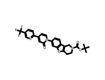 CC(C)(C)OC(=O)N1CCc2oc3cc(-n4ccc(-c5ccc(C(F)(F)F)cn5)cc4=O)ccc3c2C1